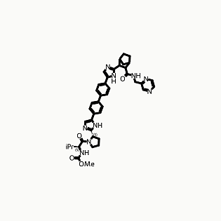 COC(=O)N[C@H](C(=O)N1CCC[C@H]1c1ncc(-c2ccc(-c3ccc(-c4cnc(C5C6CCC(C6)C5C(=O)NCc5cnccn5)[nH]4)cc3)cc2)[nH]1)C(C)C